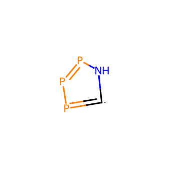 [c]1[nH]ppp1